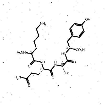 CC(=O)N[C@@H](CCCCN)C(=O)N[C@@H](CCC(N)=O)C(=O)N[C@H](C(=O)N[C@@H](Cc1ccc(O)cc1)C(=O)O)C(C)C